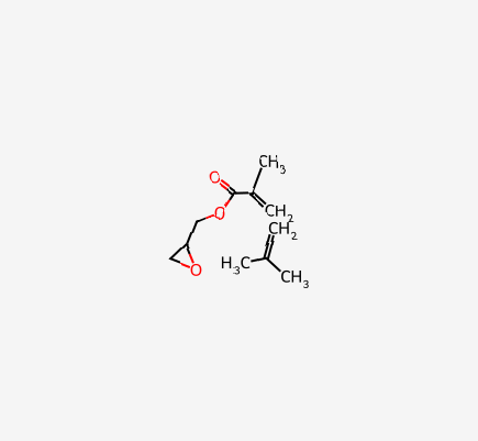 C=C(C)C.C=C(C)C(=O)OCC1CO1